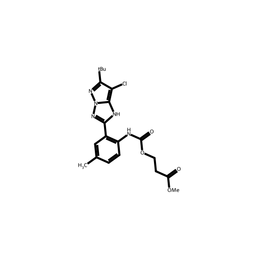 COC(=O)CCOC(=O)Nc1ccc(C)cc1-c1nn2nc(C(C)(C)C)c(Cl)c2[nH]1